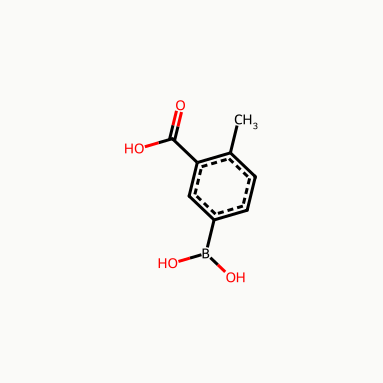 Cc1ccc(B(O)O)cc1C(=O)O